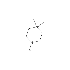 [CH2]N1CC[N+](C)(C)CC1